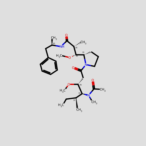 CC[C@H](C)[C@@H]([C@@H](CC(=O)N1CCC[C@H]1[C@H](OC)[C@@H](C)C(=O)N[C@H](C)Cc1ccccc1)OC)N(C)C(C)=O